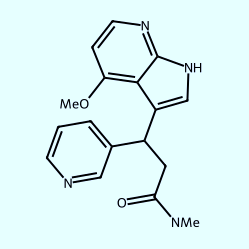 CNC(=O)CC(c1cccnc1)c1c[nH]c2nccc(OC)c12